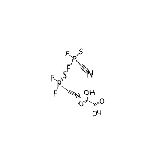 N#CP(F)(F)=S.N#CP(F)(F)=S.O=C(O)C(=O)O